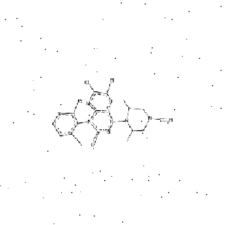 Cc1ccnc(C(C)C)c1-n1c(=O)nc(N2C(C)CN(C(=O)O)CC2C)c2cc(Cl)c(Cl)nc21